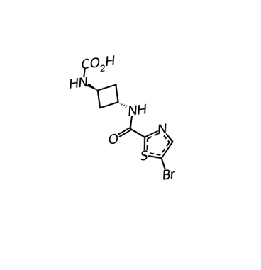 O=C(O)N[C@H]1C[C@H](NC(=O)c2ncc(Br)s2)C1